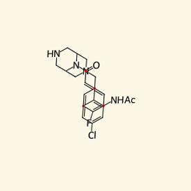 CC(=O)Nc1cc(Cl)ccc1C=CC(=O)N1C2CNCC1CN(Cc1ccc(F)cc1)C2